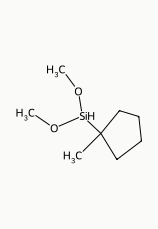 CO[SiH](OC)C1(C)CCCC1